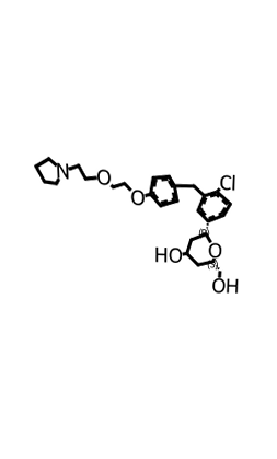 OC[C@@H]1CC(O)C[C@H](c2ccc(Cl)c(Cc3ccc(OCCOCCN4CCCC4)cc3)c2)O1